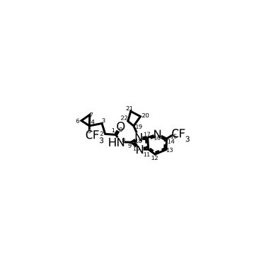 O=C(CCC1(C(F)(F)F)CC1)Nc1nc2ccc(C(F)(F)F)nc2n1C1CCC1